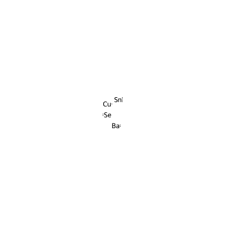 [Ba].[Cu].[Se].[Sn]